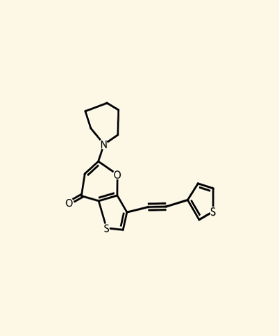 O=c1cc(N2CCCCC2)oc2c(C#Cc3ccsc3)csc12